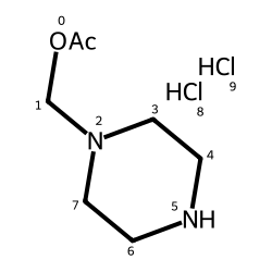 CC(=O)OCN1CCNCC1.Cl.Cl